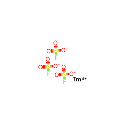 O=S(=O)([O-])F.O=S(=O)([O-])F.O=S(=O)([O-])F.[Tm+3]